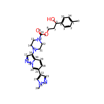 Cc1ccc(C(O)CCOC(=O)N2CCN(c3cnn4cc(-c5cnn(C)c5)ccc34)CC2)cc1